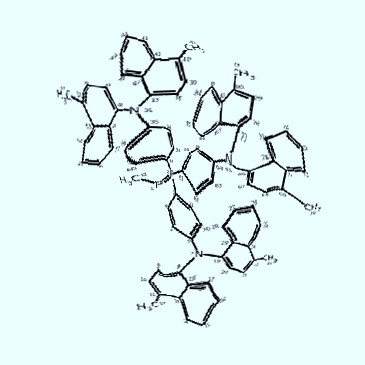 CP=P(c1ccc(N(c2ccc(C)c3ccccc23)c2ccc(C)c3ccccc23)cc1)(c1ccc(N(c2ccc(C)c3ccccc23)c2ccc(C)c3ccccc23)cc1)c1ccc(N(c2ccc(C)c3ccccc23)c2ccc(C)c3ccccc23)cc1